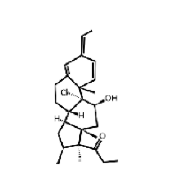 C/C=C1\C=C[C@@]2(C)C(=C1)CC[C@H]1[C@@H]3C[C@H](C)[C@](C)(C(=O)CC)[C@@]3(C)C[C@H](O)[C@@]12Cl